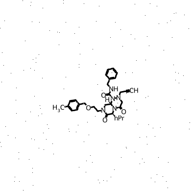 C#CCN1CC(=O)N2[C@@H](CCC)C(=O)N(CCOCc3ccc(C)cc3)C[C@@H]2N1C(=O)NCc1ccccc1